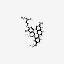 CCN(Cc1ccc(OCCN(C)C)c(F)c1)c1cc(OC)ccc1C1CCc2cc(O)ccc2C1